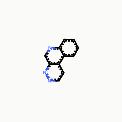 c1ccc2c(c1)ncc1nnccc12